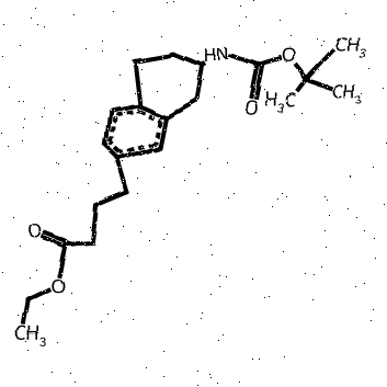 CCOC(=O)CCCc1ccc2c(c1)CC(NC(=O)OC(C)(C)C)CC2